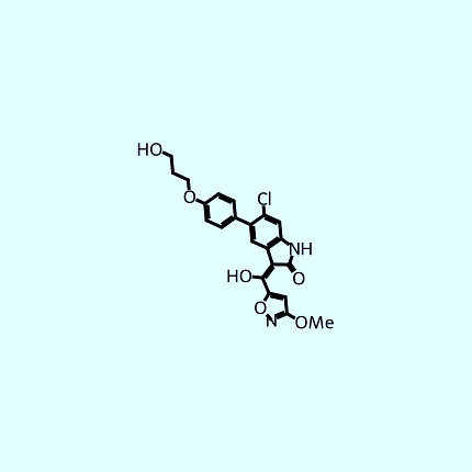 COc1cc(C(O)=C2C(=O)Nc3cc(Cl)c(-c4ccc(OCCCO)cc4)cc32)on1